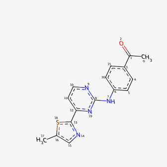 CC(=O)c1ccc(Nc2nccc(-c3ncc(C)s3)n2)cc1